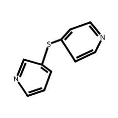 c1cncc(Sc2ccncc2)c1